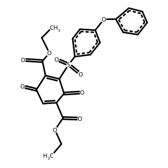 CCOC(=O)C1=CC(=O)C(C(=O)OCC)=C(S(=O)(=O)c2ccc(Oc3ccccc3)cc2)C1=O